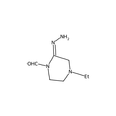 CCN1CCN([C]=O)C(=NN)C1